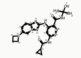 BC(B)(O)NC(=O)c1nnc(NC(=O)C2CC2)cc1Nc1nc2ccc(N3CCC3)cn2n1